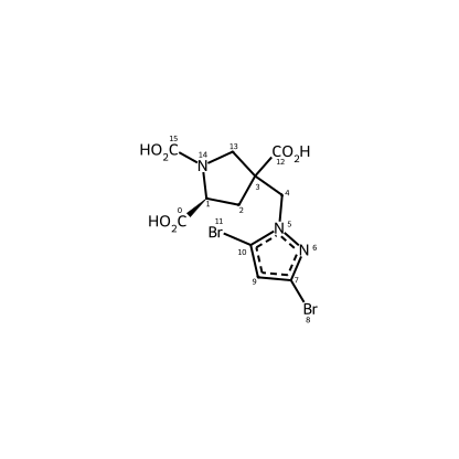 O=C(O)[C@@H]1CC(Cn2nc(Br)cc2Br)(C(=O)O)CN1C(=O)O